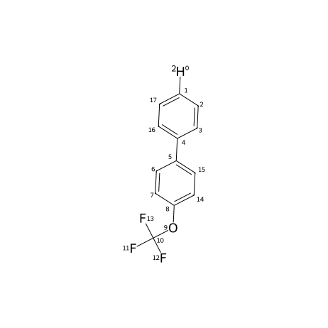 [2H]c1ccc(-c2ccc(OC(F)(F)F)cc2)cc1